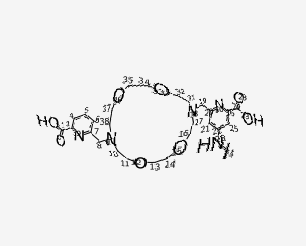 O=C(O)c1cccc(CN2CCOCCOCCN(Cc3cc(NI)cc(C(=O)O)n3)CCOCCOCC2)n1